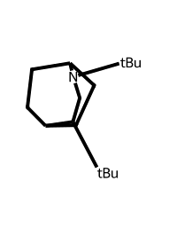 CC(C)(C)C1CN(C(C)(C)C)C2CCC1CC2